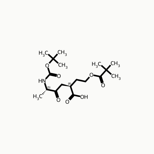 C[C@H](NC(=O)OC(C)(C)C)C(=O)C[C@@H](CCOC(=O)C(C)(C)C)C(=O)O